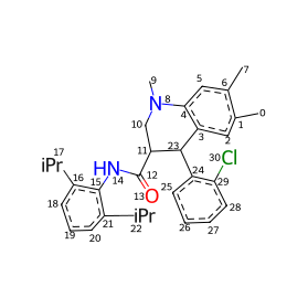 Cc1cc2c(cc1C)N(C)CC(C(=O)Nc1c(C(C)C)cccc1C(C)C)C2c1ccccc1Cl